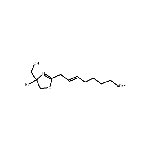 CCCCCCCCCCCCCCC=CCC1=NC(CC)(CO)CO1